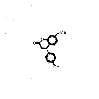 COc1ccc2c(c1)OC(=O)C[C@@H]2c1ccc(O)cc1